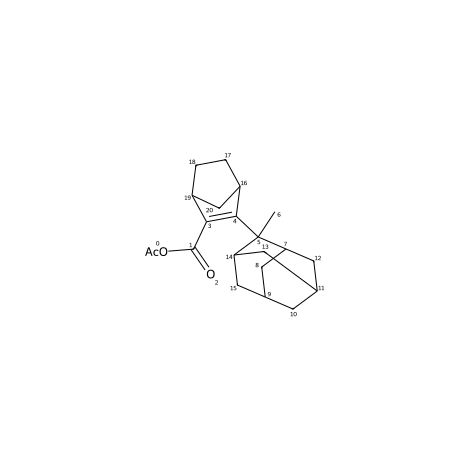 CC(=O)OC(=O)C1=C(C2(C)C3CC4CC(C3)CC2C4)C2CCC1C2